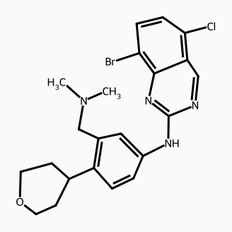 CN(C)Cc1cc(Nc2ncc3c(Cl)ccc(Br)c3n2)ccc1C1CCOCC1